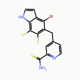 NC(=S)c1cc(Cc2c(F)c(F)c3[nH]ccc3c2Br)ccn1